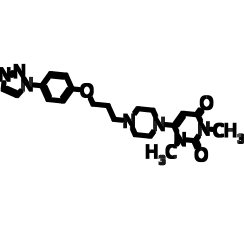 Cn1c(N2CCN(CCCOc3ccc(-n4ccnn4)cc3)CC2)cc(=O)n(C)c1=O